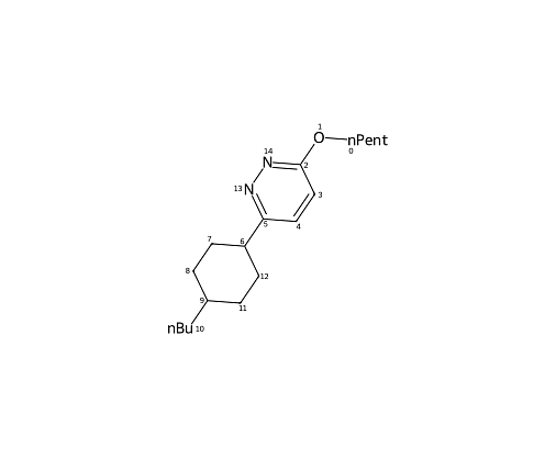 CCCCCOc1ccc(C2CCC(CCCC)CC2)nn1